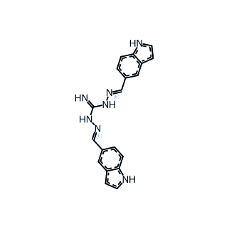 N=C(N/N=C/c1ccc2[nH]ccc2c1)N/N=C/c1ccc2[nH]ccc2c1